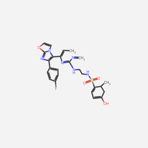 C=N/C(=N\C(=C/C)c1c(-c2ccc(F)cc2)nc2occn12)NCCNS(=O)(=O)C1=CC=C(O)CC1C